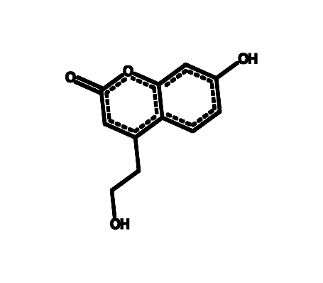 O=c1cc(CCO)c2ccc(O)cc2o1